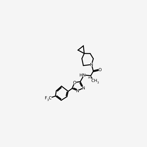 C[C@@H](Nc1nnc(-c2ccc(C(F)(F)F)cc2)o1)C(=O)N1CCC2(CC1)CC2